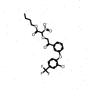 CCCCOC(=O)C(OCC(=O)c1cccc(Oc2ccc(C(F)(F)F)cc2Cl)c1)[N+](=O)[O-]